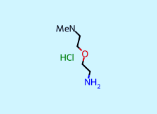 CNCCOCCN.Cl